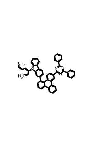 C=C/C(=C\C=C/C)n1c2ccccc2c2ccc(-c3cccc4c5ccccc5c5cc(-c6nc(-c7ccccc7)nc(-c7ccccc7)n6)ccc5c34)cc21